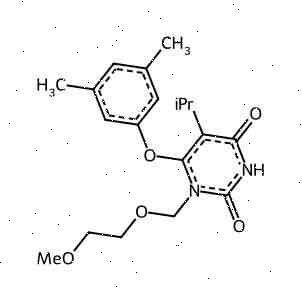 COCCOCn1c(Oc2cc(C)cc(C)c2)c(C(C)C)c(=O)[nH]c1=O